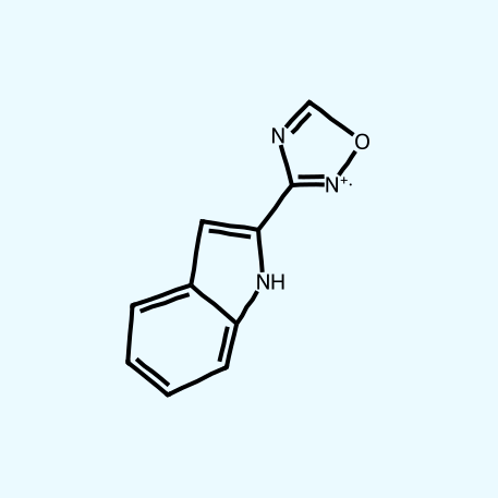 C1=NC(c2cc3ccccc3[nH]2)=[N+]O1